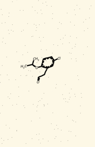 CC(C)Oc1ccc(Cl)cc1CC=O